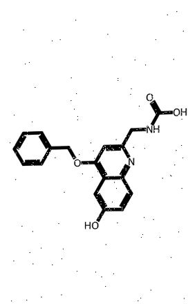 O=C(O)NCc1cc(OCc2ccccc2)c2cc(O)ccc2n1